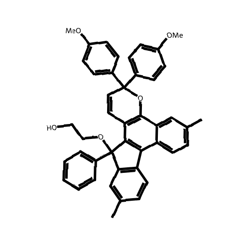 COc1ccc(C2(c3ccc(OC)cc3)C=Cc3c4c(c5ccc(C)cc5c3O2)-c2ccc(C)cc2C4(OCCO)c2ccccc2)cc1